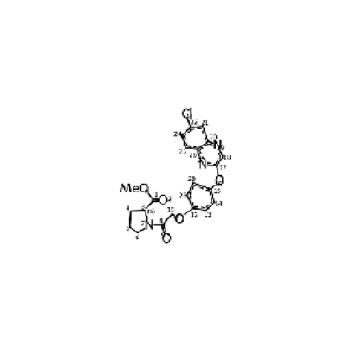 COC(=O)[C@@H]1CCCN1C(=O)COc1ccc(Oc2cnc3cc(Cl)ccc3n2)cc1